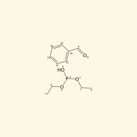 CCOP(O)OCC.O=Cc1ccccc1